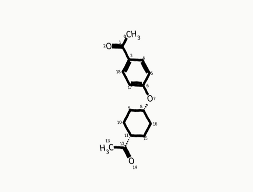 CC(=O)c1ccc(O[C@H]2CC[C@@H](C(C)=O)CC2)cc1